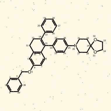 c1ccc(COc2ccc3c(c2)CCC(c2ccccc2)=C3c2ccc(N3CCC4(CC3)OCCO4)cc2)cc1